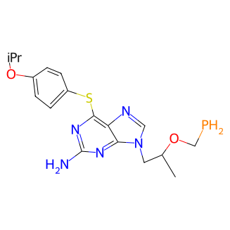 CC(C)Oc1ccc(Sc2nc(N)nc3c2ncn3CC(C)OCP)cc1